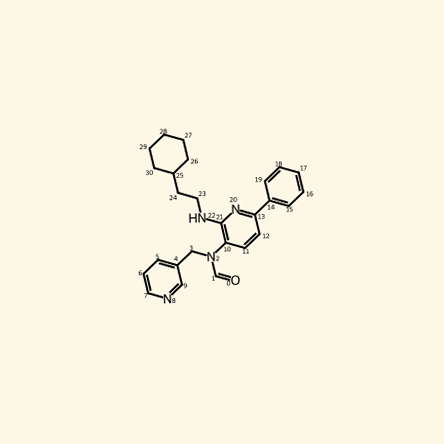 O=CN(Cc1cccnc1)c1ccc(-c2ccccc2)nc1NCCC1CCCCC1